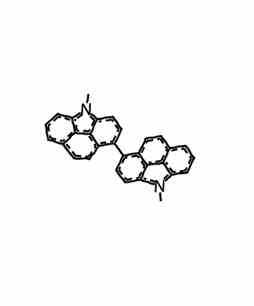 Cn1c2cccc3ccc4c(-c5ccc6c7c5ccc5cccc(c57)n6C)ccc1c4c32